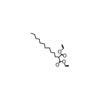 C=COC(=O)C(CCCCCCCCCCC)C(=O)OC=C